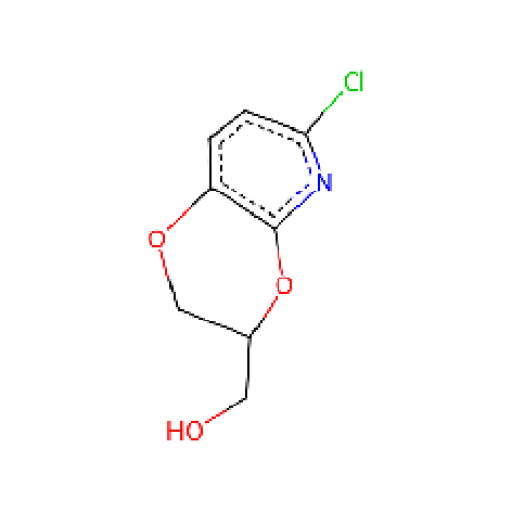 OCC1COc2ccc(Cl)nc2O1